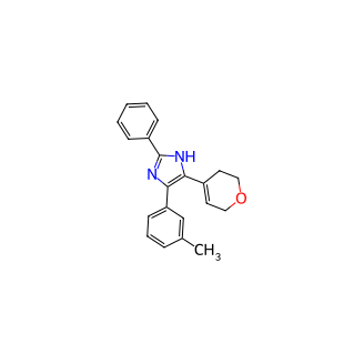 Cc1cccc(-c2nc(-c3ccccc3)[nH]c2C2=CCOCC2)c1